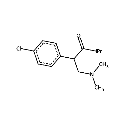 CC(C)C(=O)C(CN(C)C)c1ccc(Cl)cc1